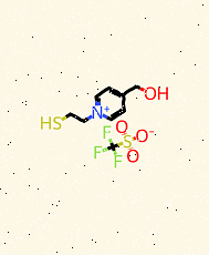 O=S(=O)([O-])C(F)(F)F.OCc1cc[n+](CCS)cc1